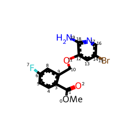 COC(=O)c1ccc(F)cc1COc1cc(Br)cnc1N